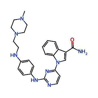 CN1CCN(CCNc2ccc(Nc3nccc(-n4cc(C(N)=O)c5ccccc54)n3)cc2)CC1